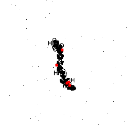 C[C@H]1CN(C2CCN(c3ccc4c(c3)C(=O)N(C3CCC(=O)NC3=O)C4=O)CC2)CCN1c1ccc(Nc2cc(N3CCC[C@@H](N4CCn5c(cc6c5CC(C)(C)C6)C4=O)[C@H]3CO)cn(C)c2=O)nc1